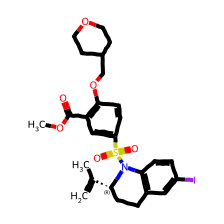 C=C(C)[C@H]1CCc2cc(I)ccc2N1S(=O)(=O)c1ccc(OCC2CCOCC2)c(C(=O)OC)c1